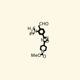 COC(=O)N1CCC(c2nc(-c3ccc(CC=O)c(N(C)C(C)C)c3)no2)CC1